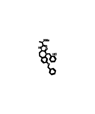 CN[C@@H](C)C(=O)N[C@H]1CCc2ccc(OCc3ccccc3)cc2N(Cc2ccccc2)C1=O.Cl